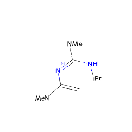 C=C(/N=C(/NC)NC(C)C)NC